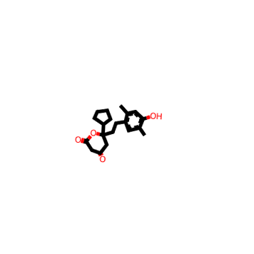 Cc1cc(CCC2(C3CCCC3)CC(=O)CC(=O)O2)c(C)cc1O